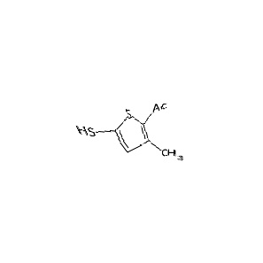 CC(=O)c1sc(S)cc1C